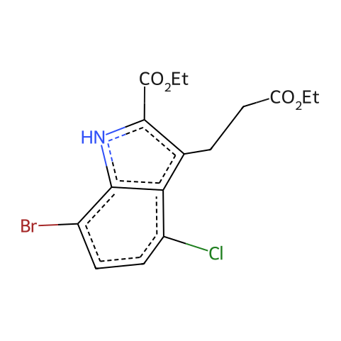 CCOC(=O)CCc1c(C(=O)OCC)[nH]c2c(Br)ccc(Cl)c12